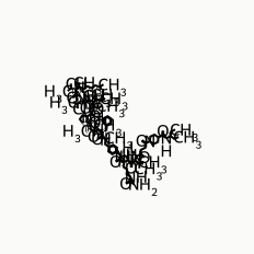 CCCCCCN(C)[C@H](C(=O)N[C@H](C(=O)N(C)[C@@H]([C@@H](C)CC)[C@@H](CC(=O)N1CCC[C@H]1[C@H](OC)[C@@H](C)C(=O)N[C@@H](Cc1ccccc1)C(=O)N(C)Cc1ccc(NC(=O)[C@H](CCCNC(N)=O)NC(=O)[C@@H](NC(=O)CCC(=O)N2CCC(C(=O)NC(CC)CC)CC2)C(C)C)cc1)OC)C(C)C)C(C)C